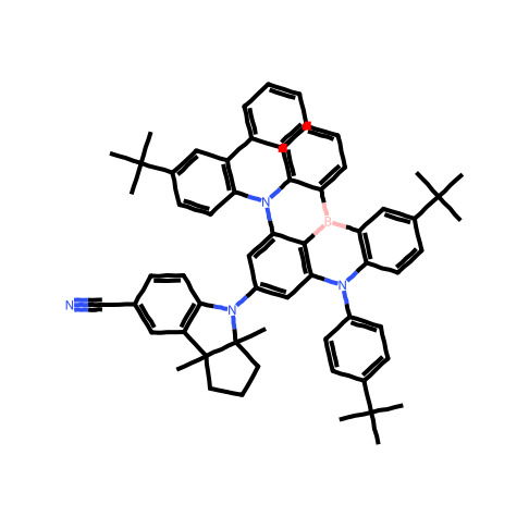 CC(C)(C)c1ccc(N2c3ccc(C(C)(C)C)cc3B3c4ccccc4N(c4ccc(C(C)(C)C)cc4-c4ccccc4)c4cc(N5c6ccc(C#N)cc6C6(C)CCCC56C)cc2c43)cc1